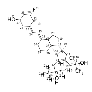 [2H]C([2H])([2H])C(O)(CCC[C@](C)(C/C=C\C(O)(C(F)(F)F)C(F)(F)F)[C@H]1CCC2/C(=C/C=C3/C[C@@H](O)C[C@H](F)C3=C)CCC[C@@]21C)C([2H])([2H])[2H]